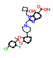 CC1(c2ccc(Cl)cc2F)Oc2cccc(C3CCN(Cc4nc5ccc(C(=O)O)cc5n4CC4(O)CCC4)CC3)c2O1